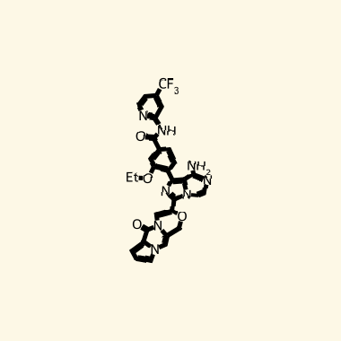 CCOc1cc(C(=O)Nc2cc(C(F)(F)F)ccn2)ccc1-c1nc(C2=Cn3c(cn4cccc4c3=O)CO2)n2ccnc(N)c12